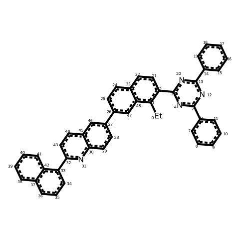 CCc1c(-c2nc(-c3ccccc3)nc(-c3ccccc3)n2)ccc2ccc(-c3ccc4nc(-c5cccc6ccccc56)ccc4c3)cc12